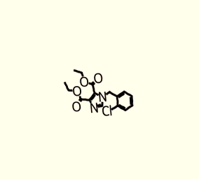 CCOC(=O)c1ncn(Cc2ccccc2Cl)c1C(=O)OCC